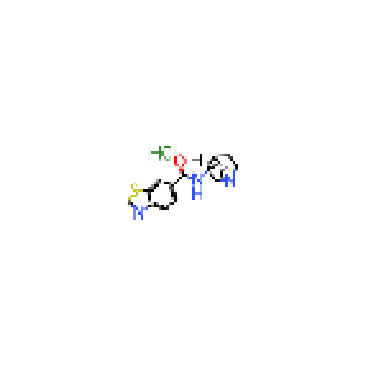 Cl.O=C(N[C@@H]1CN2CCC1CC2)c1ccc2ncsc2c1